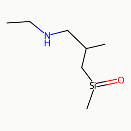 CCNCC(C)C[Si](C)=O